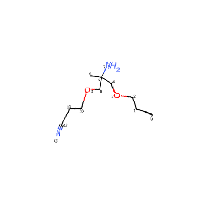 CCCOCC(C)(N)COCCC#N